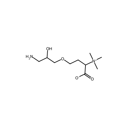 C[N+](C)(C)C(CCOCC(O)CN)C(=O)[O-]